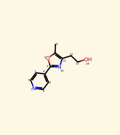 Cc1oc(-c2ccncc2)nc1CCO